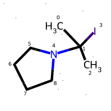 CC(C)(I)N1CCCC1